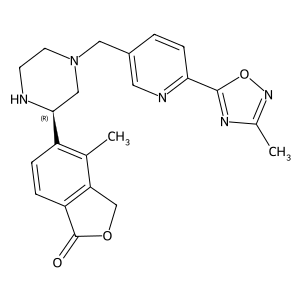 Cc1noc(-c2ccc(CN3CCN[C@H](c4ccc5c(c4C)COC5=O)C3)cn2)n1